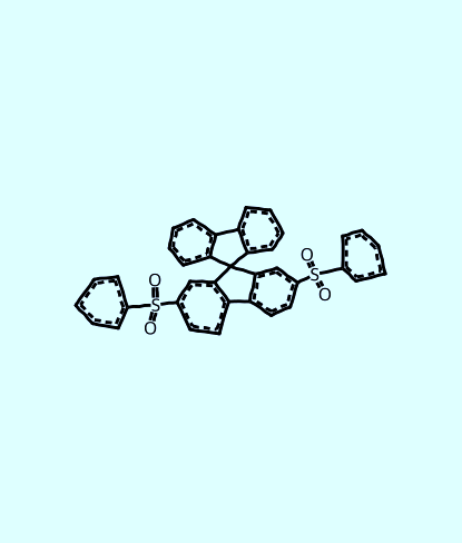 O=S(=O)(c1ccccc1)c1ccc2c(c1)C1(c3ccccc3-c3ccccc31)c1cc(S(=O)(=O)c3ccccc3)ccc1-2